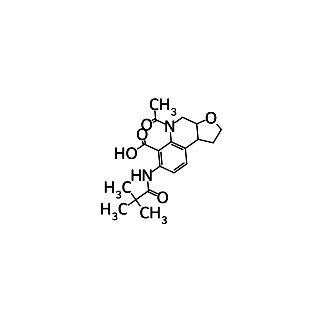 CC(=O)N1CC2OCCC2c2ccc(NC(=O)C(C)(C)C)c(C(=O)O)c21